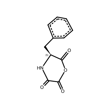 O=C1N[C@@H](Cc2ccccc2)C(=O)OC1=O